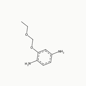 CCOCOc1cc(N)ccc1N